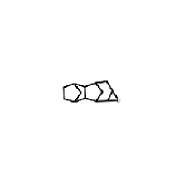 C1CC2CC1C1C3CC4OC4C(C3)C21